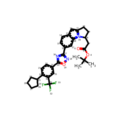 CC(C)(C)OC(=O)CC1CCc2cc3ccc(-c4noc(-c5ccc(C6CCCC6)c(C(F)(F)F)c5)n4)cc3n21